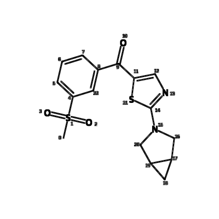 CS(=O)(=O)c1cccc(C(=O)c2cnc(N3CC4CC4C3)s2)c1